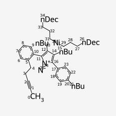 CC#CCCc1ccccc1C1=C(CCCC)C(CCCC)=C(c2ccc(CCCC)cc2)[N+]1=[N-].CCCCCCCCCCCC[CH2][Ni][CH2]CCCCCCCCCCCC